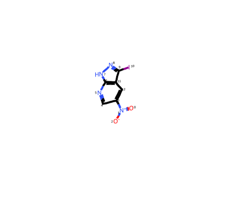 O=[N+]([O-])c1cnc2[nH]nc(I)c2c1